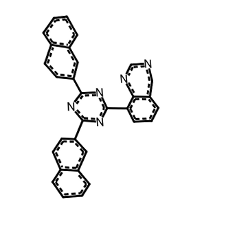 c1ccc2cc(-c3nc(-c4ccc5ccccc5c4)nc(-c4cccc5cncnc45)n3)ccc2c1